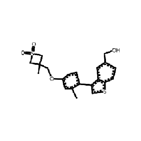 Cc1cc(OCC2(C)CS(=O)(=O)C2)ccc1-c1csc2ccc(CO)cc12